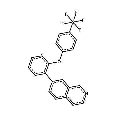 FS(F)(F)(F)(F)c1ccc(Oc2ncccc2-c2ccc3ccncc3c2)cc1